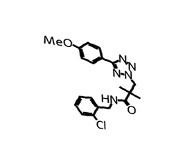 COc1ccc(-c2nnn(CC(C)(C)C(=O)NCc3ccccc3Cl)n2)cc1